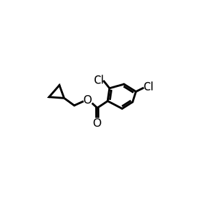 O=C(OCC1CC1)c1ccc(Cl)cc1Cl